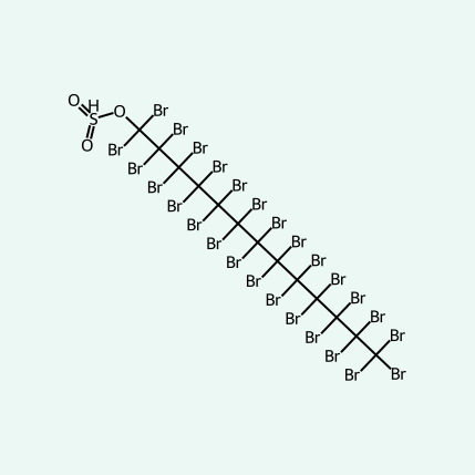 O=[SH](=O)OC(Br)(Br)C(Br)(Br)C(Br)(Br)C(Br)(Br)C(Br)(Br)C(Br)(Br)C(Br)(Br)C(Br)(Br)C(Br)(Br)C(Br)(Br)C(Br)(Br)C(Br)(Br)C(Br)(Br)Br